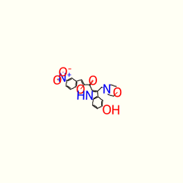 O=C(c1cc2cc([N+](=O)[O-])ccc2o1)c1[nH]c2ccc(O)cc2c1CN1CCOCC1